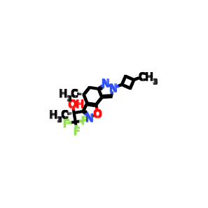 CC1CC(n2cc3c(n2)C[C@@H](C)c2c([C@](C)(O)C(F)(F)F)noc2-3)C1